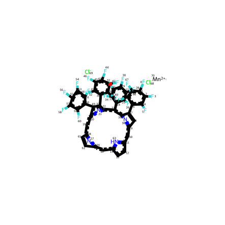 Fc1c(F)c(F)c(C2=Cc3cc4ccc(cc5nc(cc6[nH]c(c(-c7c(F)c(F)c(F)c(F)c7F)c2n3)c(-c2c(F)c(F)c(F)c(F)c2F)c6-c2c(F)c(F)c(F)c(F)c2F)C=C5)[nH]4)c(F)c1F.[Cl-].[Cl-].[Mn+2]